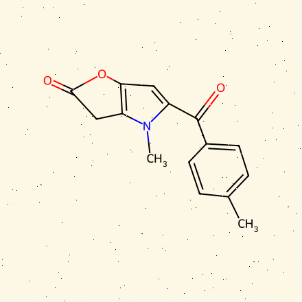 Cc1ccc(C(=O)c2cc3c(n2C)CC(=O)O3)cc1